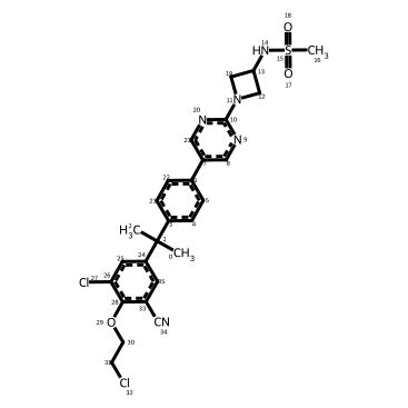 CC(C)(c1ccc(-c2cnc(N3CC(NS(C)(=O)=O)C3)nc2)cc1)c1cc(Cl)c(OCCCl)c(C#N)c1